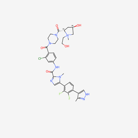 Cc1n[nH]cc1-c1ccc(-c2cnc(C(=O)Nc3ccc(C(=O)N4CCN(C(=O)[C@@H]5C[C@@H](O)C[N+]5(C)CCO)CC4)c(Cl)c3)n2C)c(F)c1F